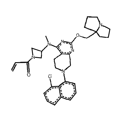 C=CC(=O)N1CC(N(C)c2nc(OCC34CCCN3CCC4)nc3c2CCN(c2cccc4cccc(Cl)c24)C3)C1